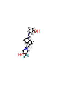 C[C@@H](CN1CCC(O)(C(F)F)CC1)C1CCC2/C(=C/C=C3/CCC[C@H](O)C3)CCCC21C